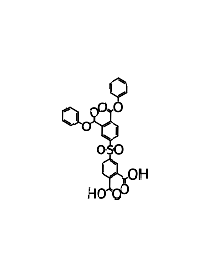 O=C(O)c1ccc(S(=O)(=O)c2ccc(C(=O)Oc3ccccc3)c(C(=O)Oc3ccccc3)c2)cc1C(=O)O